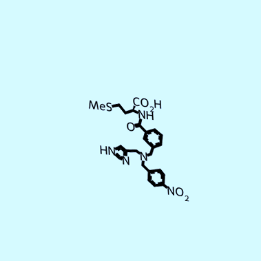 CSCC[C@H](NC(=O)c1cccc(CN(Cc2ccc([N+](=O)[O-])cc2)Cc2c[nH]cn2)c1)C(=O)O